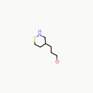 [O]CCCC1CCSNC1